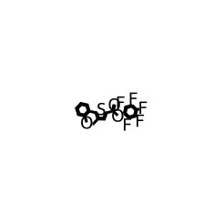 O=C(Oc1c(F)c(F)c(F)c(F)c1F)c1cc2c(s1)-c1ccccc1OC2